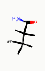 CC(C)C(C)(C)C(C)(C)C(N)=O